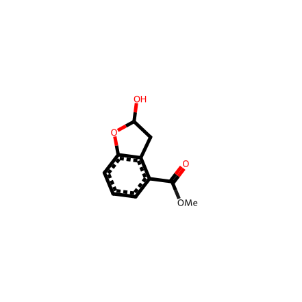 COC(=O)c1cccc2c1CC(O)O2